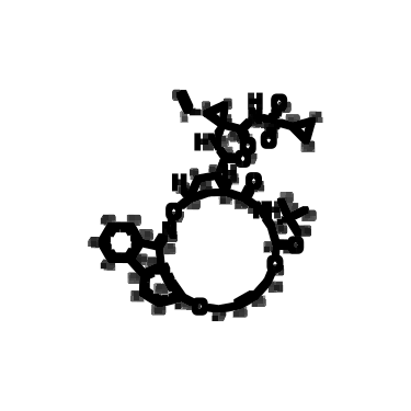 C=C[C@@H]1C[C@]1(NC(=O)[C@@H]1C[C@@H]2C[C@H]1C(=O)N[C@H](C(C)(C)C)C(=O)OC/C=C\COc1ccc3c(c1)/C(=N/O2)c1ccccc1-3)C(=O)NS(=O)(=O)C1CC1